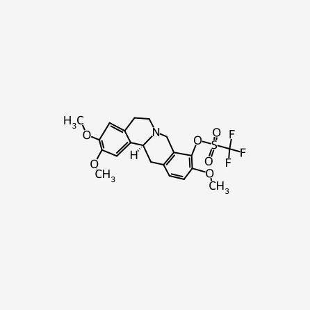 COc1cc2c(cc1OC)[C@@H]1Cc3ccc(OC)c(OS(=O)(=O)C(F)(F)F)c3CN1CC2